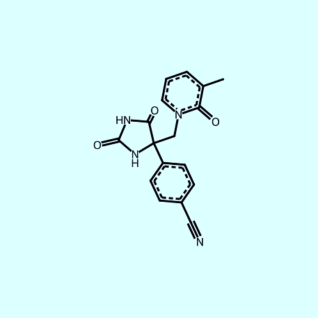 Cc1cccn(CC2(c3ccc(C#N)cc3)NC(=O)NC2=O)c1=O